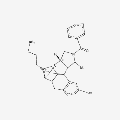 CCC1C2[C@@H](CN1C(=O)c1ccccc1)CC1(C)C3C4Cc5ccc(O)cc5C21C4CN3CCCN